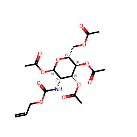 C=CCOC(=O)N[C@@H]1[C@@H](OC(C)=O)O[C@H](COC(C)=O)[C@@H](OC(C)=O)[C@@H]1OC(C)=O